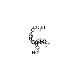 CCOC(=O)COCCN1CCN(Cc2ccc3c(c2)nc(NC(=O)c2cccc(C(F)(F)F)c2)n3C2CCC(CO)CC2)CC1